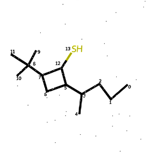 CCCC(C)C1CC(C(C)(C)C)C1S